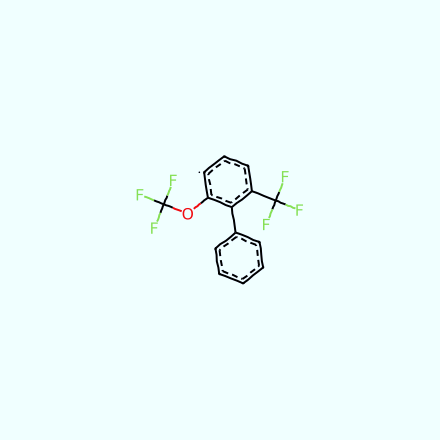 FC(F)(F)Oc1[c]ccc(C(F)(F)F)c1-c1ccccc1